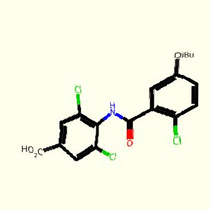 CC(C)COc1ccc(Cl)c(C(=O)Nc2c(Cl)cc(C(=O)O)cc2Cl)c1